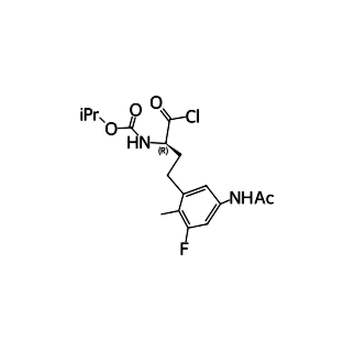 CC(=O)Nc1cc(F)c(C)c(CC[C@@H](NC(=O)OC(C)C)C(=O)Cl)c1